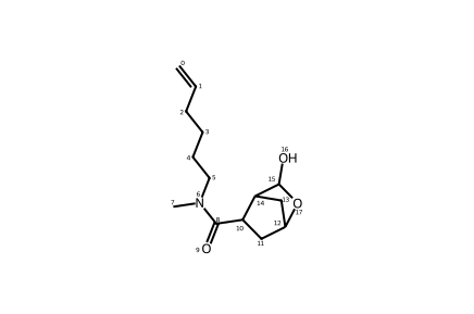 C=CCCCCN(C)C(=O)C1CC2CC1C(O)O2